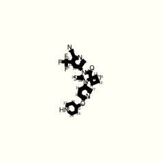 Cl.N#Cc1ncc(N2C(=O)C3(CCC3)N(c3ccc(OC4CCNCC4)nc3)C2=S)cc1C(F)(F)F